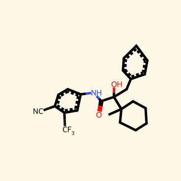 CC1(C(O)(Cc2ccccc2)C(=O)Nc2ccc(C#N)c(C(F)(F)F)c2)CCCCC1